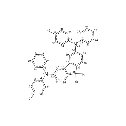 Cc1ccc(N(c2ccccc2)c2ccc3c(c2)-c2cc(N(c4ccccc4)c4ccc(C)cc4)ccc2C3(C)C)cc1